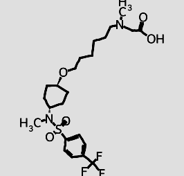 CN(CCCCCCO[C@H]1CC[C@H](N(C)S(=O)(=O)c2ccc(C(F)(F)F)cc2)CC1)CC(=O)O